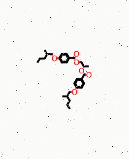 CCCC(C)COc1ccc(C(=O)OCC(C)OC(=O)c2ccc(OCC(C)CCC)cc2)cc1